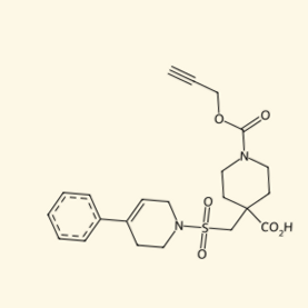 C#CCOC(=O)N1CCC(CS(=O)(=O)N2CC=C(c3ccccc3)CC2)(C(=O)O)CC1